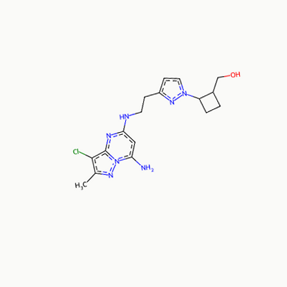 Cc1nn2c(N)cc(NCCc3ccn(C4CCC4CO)n3)nc2c1Cl